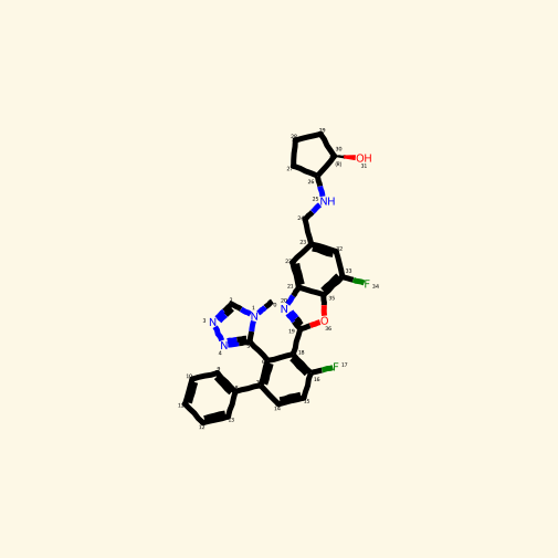 Cn1cnnc1-c1c(-c2ccccc2)ccc(F)c1-c1nc2cc(CNC3CCC[C@H]3O)cc(F)c2o1